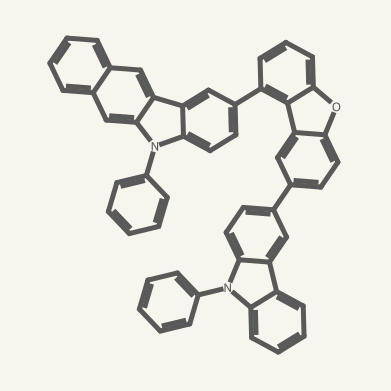 c1ccc(-n2c3ccccc3c3cc(-c4ccc5oc6cccc(-c7ccc8c(c7)c7cc9ccccc9cc7n8-c7ccccc7)c6c5c4)ccc32)cc1